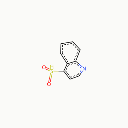 O=[SH](=O)c1ccnc2ccccc12